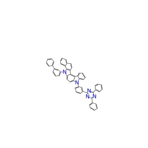 c1ccc(-c2cccc(-n3c4ccc5c(c6ccccc6n5-c5cccc(-c6nc(-c7ccccc7)nc(-c7ccccc7)n6)c5)c4c4ccc5ccccc5c43)c2)cc1